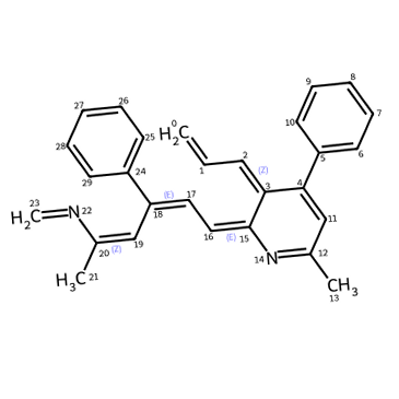 C=C/C=c1/c(-c2ccccc2)cc(C)n/c1=C/C=C(\C=C(\C)N=C)c1ccccc1